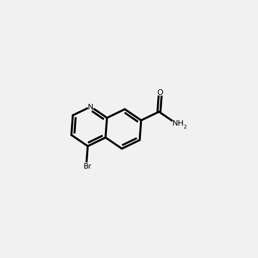 NC(=O)c1ccc2c(Br)ccnc2c1